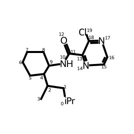 CC(C)CC(C)C1CCCCC1NC(=O)c1nccnc1Cl